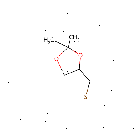 CC1(C)OCC(C[S])O1